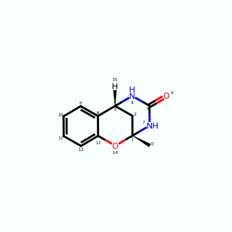 C[C@@]12C[C@@H](NC(=O)N1)c1ccccc1O2